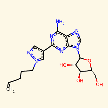 C=CCCCn1cc(-c2nc(N)c3ncn(C4O[C@H](CO)[C@@H](O)[C@H]4O)c3n2)cn1